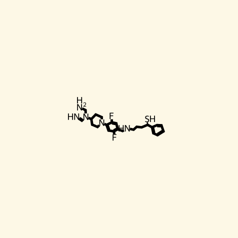 N=CN(CN)C1CCN(c2cc(F)c(CNCCC[C@@H](S)c3ccccc3)cc2F)CC1